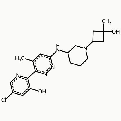 Cc1cc(NC2CCCN(C3CC(C)(O)C3)C2)nnc1-c1ncc(Cl)cc1O